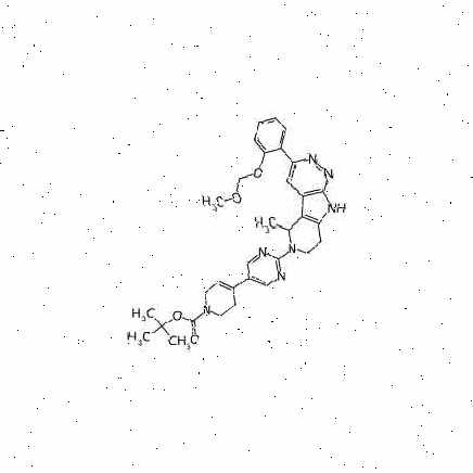 COCOc1ccccc1-c1cc2c3c([nH]c2nn1)CCN(c1ncc(C2=CCN(C(=O)OC(C)(C)C)CC2)cn1)C3C